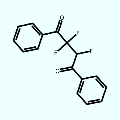 O=C(c1ccccc1)C(F)C(F)(F)C(=O)c1ccccc1